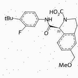 COCc1ccc2c(c1)CCN(C(=O)O)[C@@H]2C(=O)Nc1ccc(C(C)(C)C)c(F)c1